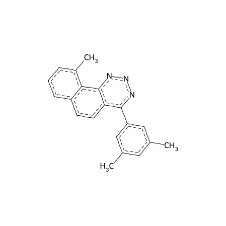 Cc1cc(C)cc(-c2nnnc3c2ccc2cccc(C)c23)c1